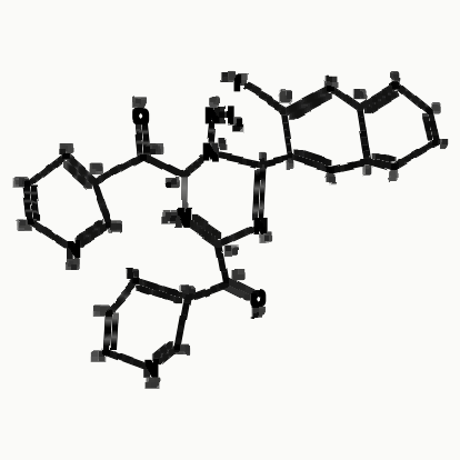 NN1C(c2cc3ccccc3cc2F)=NC(C(=O)c2cccnc2)=NC1C(=O)c1cccnc1